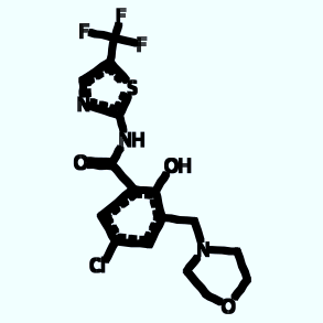 O=C(Nc1ncc(C(F)(F)F)s1)c1cc(Cl)cc(CN2CCOCC2)c1O